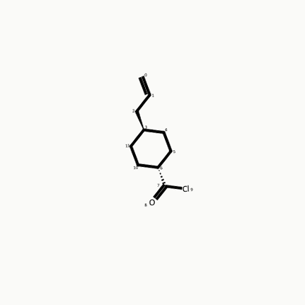 C=CC[C@H]1CC[C@H](C(=O)Cl)CC1